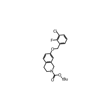 CC(C)(C)OC(=O)N1CCc2ccc(OCc3cccc(Cl)c3F)cc2C1